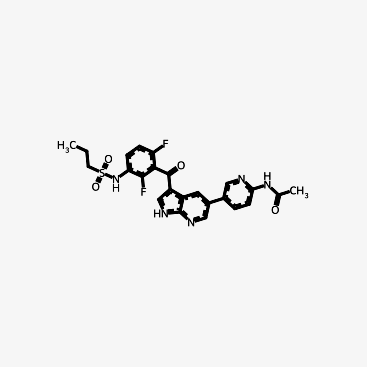 CCCS(=O)(=O)Nc1ccc(F)c(C(=O)c2c[nH]c3ncc(-c4ccc(NC(C)=O)nc4)cc23)c1F